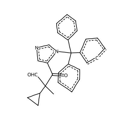 CC(C=O)(C(=O)c1cncn1C(c1ccccc1)(c1ccccc1)c1ccccc1)C1CC1